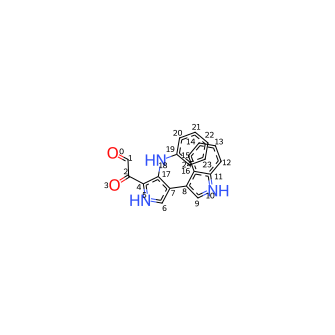 O=CC(=O)c1[nH]cc(-c2c[nH]c3ccccc23)c1Nc1ccccc1